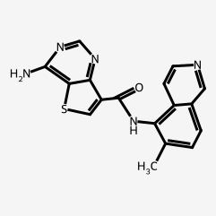 Cc1ccc2cnccc2c1NC(=O)c1csc2c(N)ncnc12